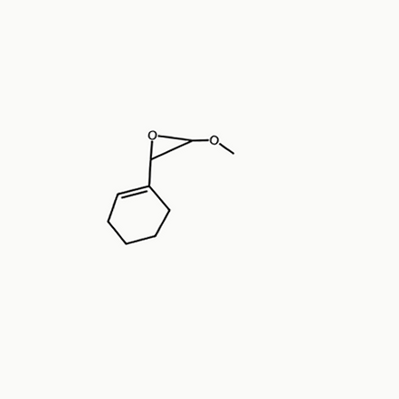 COC1OC1C1=CCCCC1